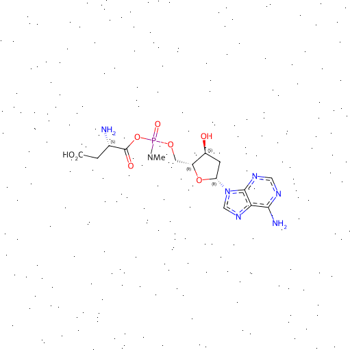 CNP(=O)(OC[C@H]1O[C@@H](n2cnc3c(N)ncnc32)C[C@@H]1O)OC(=O)[C@@H](N)CC(=O)O